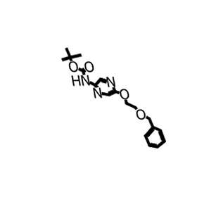 CC(C)(C)OC(=O)Nc1cnc(OCCOCc2ccccc2)cn1